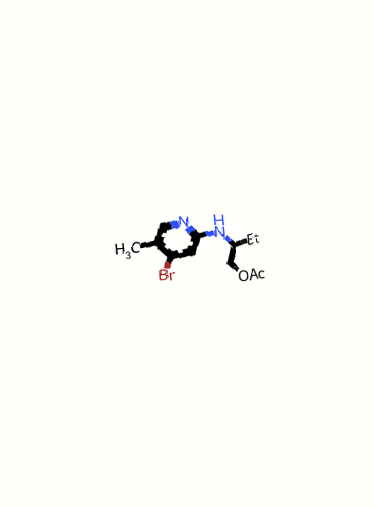 CCC(COC(C)=O)Nc1cc(Br)c(C)cn1